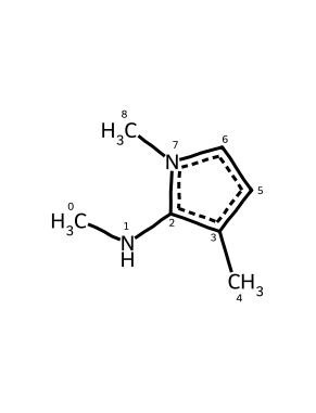 CNc1c(C)ccn1C